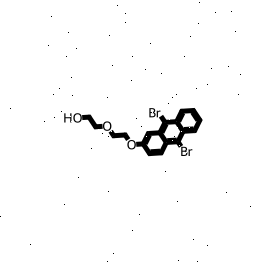 OCCOCCOc1ccc2c(Br)c3ccccc3c(Br)c2c1